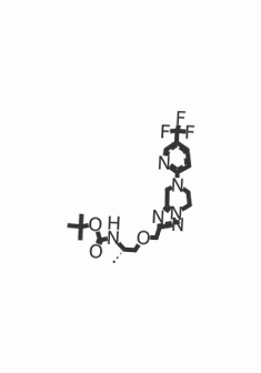 C[C@@H](COCc1nc2n(n1)CCN(c1ccc(C(F)(F)F)cn1)C2)NC(=O)OC(C)(C)C